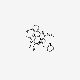 Cc1nc(C(O)C(F)F)c(-c2c(-c3cccc(C#N)c3)nc(N)c3cc(Cc4ccccn4)nn23)o1